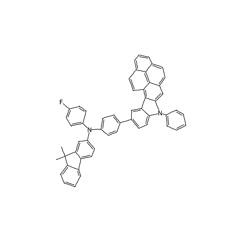 CC1(C)c2ccccc2-c2ccc(N(c3ccc(F)cc3)c3ccc(-c4ccc5c(c4)c4c6ccc7cccc8ccc(cc4n5-c4ccccc4)c6c87)cc3)cc21